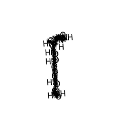 C=CC(=O)Nc1cc(-c2cc3c(cn2)CCc2c-3[nH]c3c2C(=O)NCC3)ccc1OCCCNC(=O)CCCC(=O)NCCCOCCOCCOCCCNC(=O)CCCC[C@H]1SC[C@H]2NC(=O)N[C@H]21